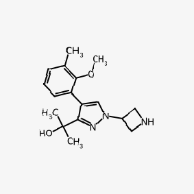 COc1c(C)cccc1-c1cn(C2CNC2)nc1C(C)(C)O